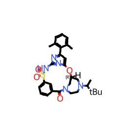 Cc1cccc(C)c1-c1cc2nc(n1)NS(=O)(=O)c1cccc(c1)C(=O)N1CCN(C(C)C(C)(C)C)C[C@H](C1)O2